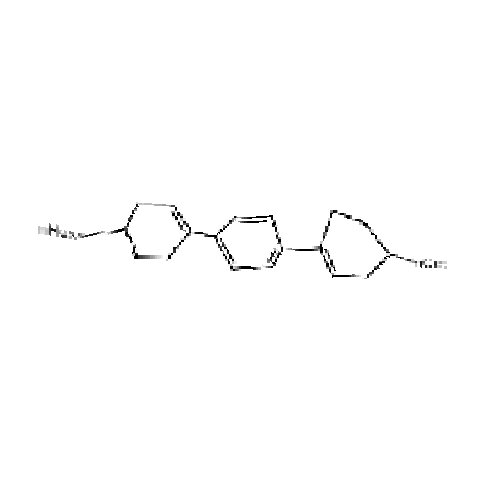 CCCCCCCCC1CC=C(c2ccc(C3=CCC(CCCCCC)CC3)cc2)CC1